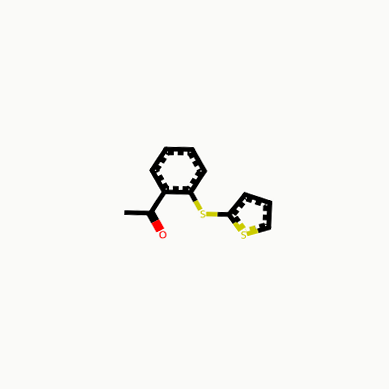 CC(=O)c1ccccc1Sc1cccs1